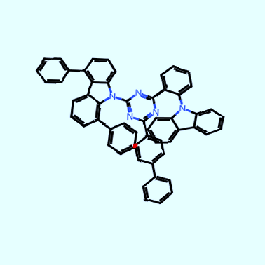 c1ccc(-c2ccc(-c3nc(-c4ccccc4-n4c5ccccc5c5ccccc54)nc(-n4c5cccc(-c6ccccc6)c5c5cccc(-c6ccccc6)c54)n3)cc2)cc1